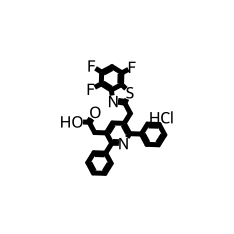 Cl.O=C(O)Cc1cc(Cc2nc3c(F)c(F)cc(F)c3s2)c(-c2ccccc2)nc1-c1ccccc1